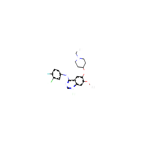 CCN1CCC(Oc2cc3c(Nc4ccc(F)c(Cl)c4)ncnc3cc2OC)CC1.Cl